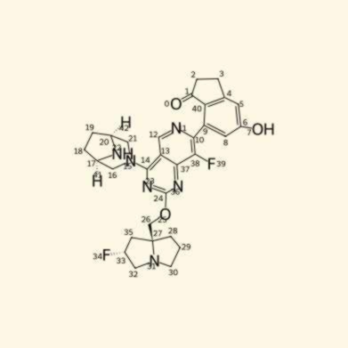 O=C1CCc2cc(O)cc(-c3ncc4c(N5C[C@H]6CC[C@@H](C5)N6)nc(OC[C@@]56CCCN5C[C@H](F)C6)nc4c3F)c21